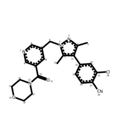 Cc1nn(Cc2cncc(C(=O)N3CCOCC3)c2)c(C)c1-c1ccc(C#N)c(Cl)c1